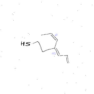 C=C/C=C(\C=C/C)CCS